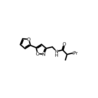 CC(C)C(C)C(=O)NCc1cc(-c2ccco2)on1